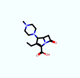 CCC1=C(C(=O)O)N2C(=O)CC2C1N1CCN(C)CC1